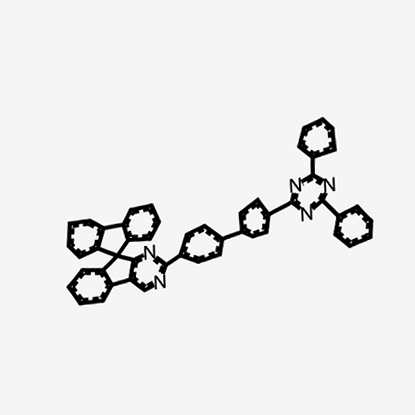 c1ccc(-c2nc(-c3ccccc3)nc(-c3ccc(-c4ccc(-c5ncc6c(n5)C5(c7ccccc7-c7ccccc75)c5ccccc5-6)cc4)cc3)n2)cc1